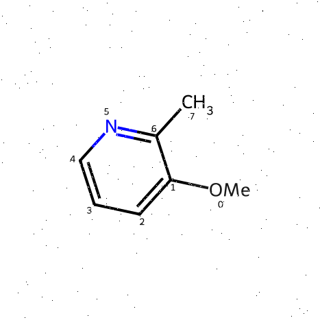 COc1cccnc1C